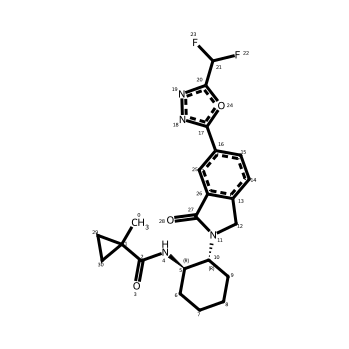 CC1(C(=O)N[C@@H]2CCCC[C@H]2N2Cc3ccc(-c4nnc(C(F)F)o4)cc3C2=O)CC1